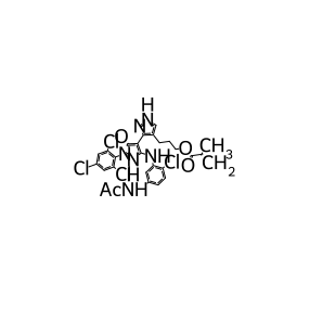 C=C(C)C(=O)OCCCc1c[nH]nc1-c1c(Nc2cc(NC(C)=O)ccc2Cl)[nH]n(-c2c(Cl)cc(Cl)cc2Cl)c1=O